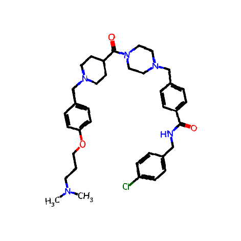 CN(C)CCCOc1ccc(CN2CCC(C(=O)N3CCN(Cc4ccc(C(=O)NCc5ccc(Cl)cc5)cc4)CC3)CC2)cc1